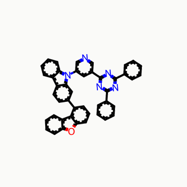 c1ccc(-c2nc(-c3ccccc3)nc(-c3cncc(-n4c5ccccc5c5ccc(-c6cccc7oc8ccccc8c67)cc54)c3)n2)cc1